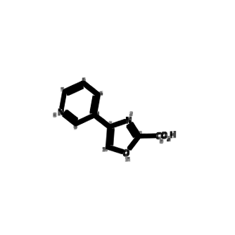 O=C(O)c1nc(-c2cccnc2)co1